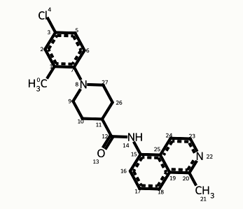 Cc1cc(Cl)ccc1N1CCC(C(=O)Nc2cccc3c(C)nccc23)CC1